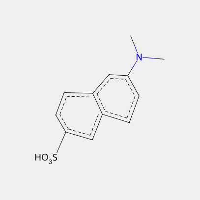 CN(C)c1ccc2cc(S(=O)(=O)O)ccc2c1